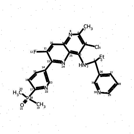 CCC(Nc1c(Cl)c(C)nc2cc(F)c(-c3ccc(P(C)(C)=O)nc3)nc12)c1cccnc1